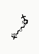 CC(C)(C)NCCOCCn1ccc(C(C)(C)C)n1